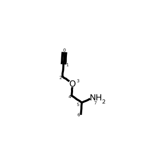 C#CCOCC(C)N